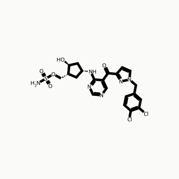 NS(=O)(=O)OC[C@H]1C[C@@H](Nc2ncncc2C(=O)c2ccn(Cc3ccc(Cl)c(Cl)c3)n2)C[C@@H]1O